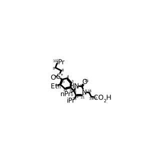 CCC[C@@]1(c2ccc([S+]([O-])CCC(C)C)c(CC)c2)NC(=O)N(CCC(=O)O)C=C1C(C)C